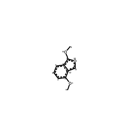 COc1cccc2c(OC)occ12